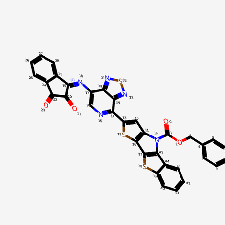 O=C(OCc1ccccc1)n1c2cc(-c3ncc(/N=c4\c(=O)c(=O)c5ccccc45)c4nsnc34)sc2c2sc3ccccc3c21